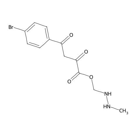 CNNCOC(=O)C(=O)CC(=O)c1ccc(Br)cc1